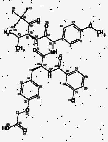 COc1ccc([C@H](NC(=O)[C@H](Cc2ccc(OCC(=O)O)cc2)NC(=O)c2cccc(Cl)c2)C(=O)N[C@H](C(=O)C(F)(F)F)C(C)C)cc1